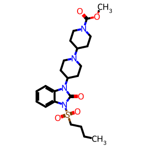 CCCCS(=O)(=O)n1c(=O)n(C2CCN(C3CCN(C(=O)OC)CC3)CC2)c2ccccc21